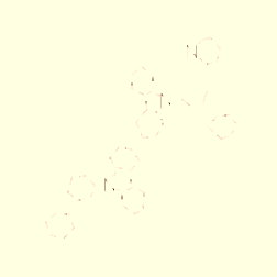 CC1(C)c2ccccc2-c2cc(-n3c4ccccc4c4cc(-c5ccc6c(c5)c5ccccc5n6C5=CC(c6ccccc6)=CC(c6ccccn6)C5)ccc43)ccc21